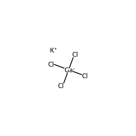 [Cl][Ga-]([Cl])([Cl])[Cl].[K+]